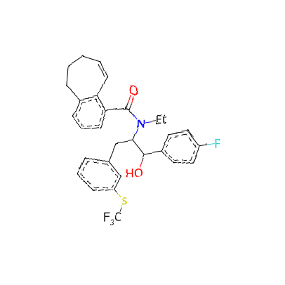 CCN(C(=O)c1cccc2c1C=CCCC2)C(Cc1cccc(SC(F)(F)F)c1)C(O)c1ccc(F)cc1